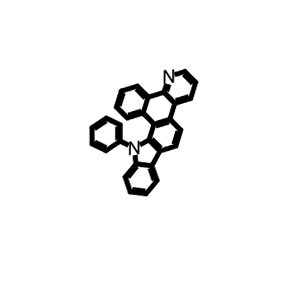 c1ccc(-n2c3ccccc3c3ccc4c5cccnc5c5ccccc5c4c32)cc1